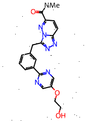 CNC(=O)c1ccc2nnc(Cc3cccc(-c4ncc(OCCO)cn4)c3)n2n1